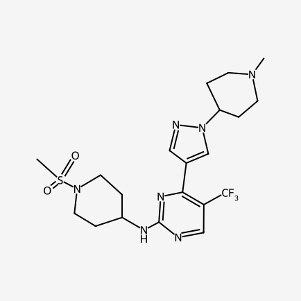 CN1CCC(n2cc(-c3nc(NC4CCN(S(C)(=O)=O)CC4)ncc3C(F)(F)F)cn2)CC1